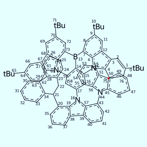 CC(C)(C)C1=Cc2c(n3c4c(cc(C(C)(C)C)cc24)B2c4c-3cc(-n3c5c(C6Cc7ccccc7-c7ccccc76)cccc5c5cccc(-n6c7ccccc7c7ccccc76)c53)cc4-n3c4ccc(C(C)(C)C)cc4c4cc(C(C)(C)C)cc2c43)CC1